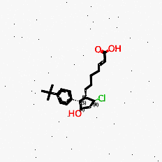 CC(C)(C)c1ccc([C@@H]2[C@@H](CCCCC=CC(=O)O)[C@H](Cl)C[C@H]2O)cc1